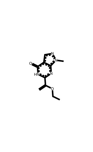 C=C(OCC)c1nc2c(cnn2C)c(=O)[nH]1